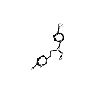 Cc1ccc(N(CCc2ccc(Cl)nc2)N=O)cc1